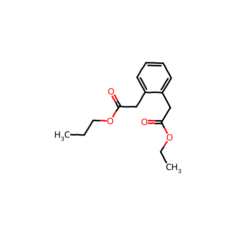 CCCOC(=O)Cc1ccccc1CC(=O)OCC